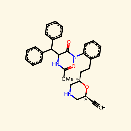 C#C[C@H]1CNC[C@@H](CCc2ccccc2NC(=O)C(NC(=O)OC)C(c2ccccc2)c2ccccc2)O1